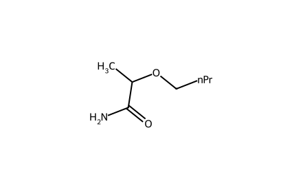 CCCCOC(C)C(N)=O